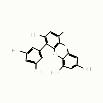 Oc1cc(O)cc(-c2c(O)cc(O)c3c2Oc2c(O)cc(O)cc2O3)c1